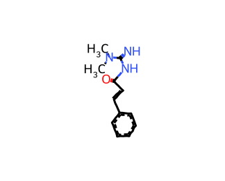 CN(C)C(=N)NC(=O)C=Cc1ccccc1